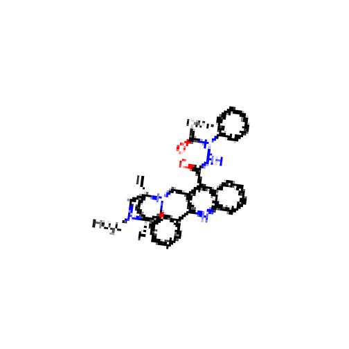 COC(=O)N(NC(=O)c1c(CN2C[C@@H]3C[C@H]2CN3C(=O)O)c(-c2ccccc2)nc2ccccc12)c1ccccc1